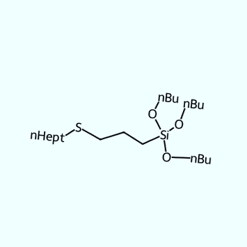 CCCCCCCSCCC[Si](OCCCC)(OCCCC)OCCCC